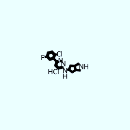 Cl.Fc1ccc(Cl)c(-c2ccc(NC3CC4CNCC4C3)nn2)c1